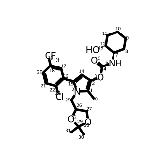 Cc1c(OC(=O)N[C@@H]2CCCC[C@H]2O)cc(-c2cc(C(F)(F)F)ccc2Cl)n1CC1COC(C)(C)O1